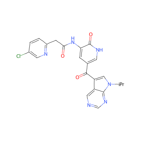 CC(C)n1cc(C(=O)c2c[nH]c(=O)c(NC(=O)Cc3ccc(Cl)cn3)c2)c2cncnc21